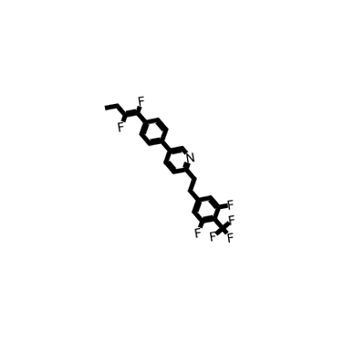 CC/C(F)=C(\F)c1ccc(-c2ccc(CCc3cc(F)c(C(F)(F)F)c(F)c3)nc2)cc1